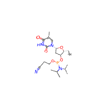 [2H]C[C@H]1O[C@@H](n2cc(C)c(=O)[nH]c2=O)CC1OP(OCCC#N)N(C(C)C)C(C)C